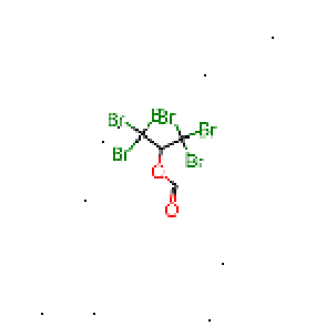 O=COC(C(Br)(Br)Br)C(Br)(Br)Br